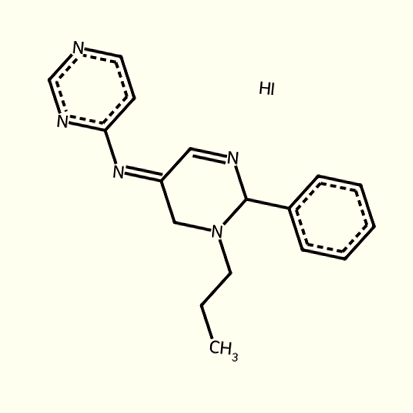 CCCN1CC(=Nc2ccncn2)C=NC1c1ccccc1.I